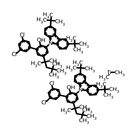 CC(C)(C)CC(C)(C)c1cc(-c2cc(Cl)cc(Cl)c2)c(O)c(-n2c3ccc(C(C)(C)C)cc3c3cc(C(C)(C)C)ccc32)c1.CC(C)(C)CC(C)(C)c1cc(-c2cc(Cl)cc(Cl)c2)c(O)c(-n2c3ccc(C(C)(C)C)cc3c3cc(C(C)(C)C)ccc32)c1.[CH3][Ti][CH3]